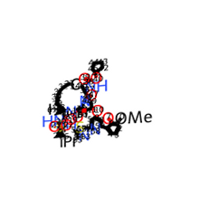 COc1cccc2c1oc1c(O[C@@H]3C[C@H]4C(=O)N[C@]5(C(=O)NS(=O)(=O)C6CC6)C[C@H]5/C=C\CCCCC[C@H](NC(=O)OC5CCCC5)C(=O)N4C3)cc(-c3nc(C(C)C)cs3)nc12